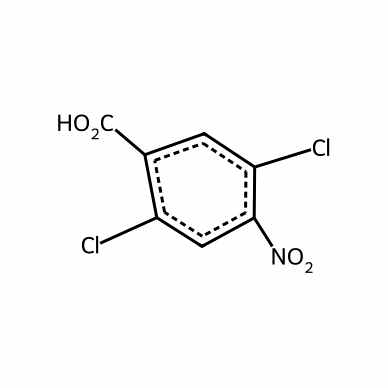 O=C(O)c1cc(Cl)c([N+](=O)[O-])cc1Cl